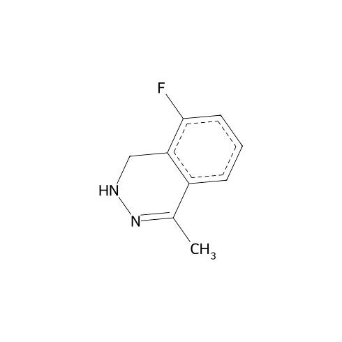 CC1=NNCc2c(F)cccc21